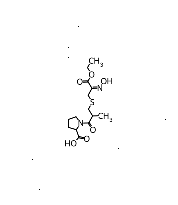 CCOC(=O)C(CSCC(C)C(=O)N1CCCC1C(=O)O)=NO